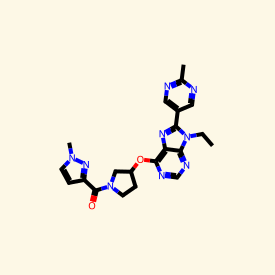 CCn1c(-c2cnc(C)nc2)nc2c(OC3CCN(C(=O)c4ccn(C)n4)C3)ncnc21